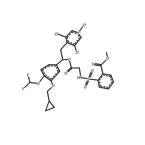 COC(=O)c1ccccc1S(=O)(=O)NCC(=O)OC(Cc1c(Cl)c[n+]([O-])cc1Cl)c1ccc(OC(F)F)c(OCC2CC2)c1